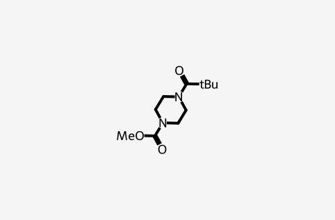 COC(=O)N1CCN(C(=O)C(C)(C)C)CC1